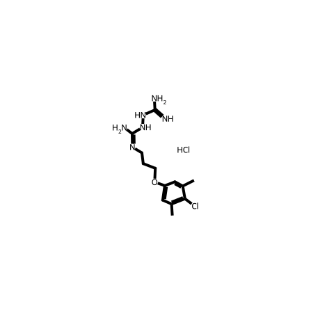 Cc1cc(OCCCN=C(N)NNC(=N)N)cc(C)c1Cl.Cl